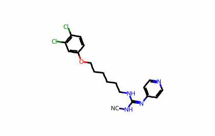 N#CNC(=Nc1ccncc1)NCCCCCCOc1ccc(Cl)c(Cl)c1